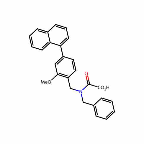 COc1cc(-c2cccc3ccccc23)ccc1CN(Cc1ccccc1)C(=O)C(=O)O